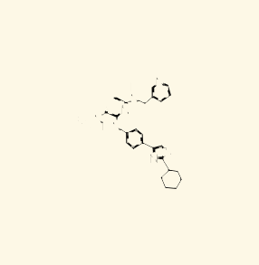 O=[N+]([O-])c1ccc(NCc2cccnc2)nc1Nc1ccc(-c2csc(C3CCCCC3)n2)cc1